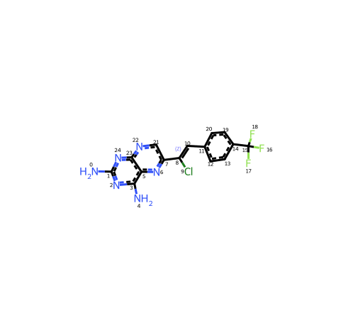 Nc1nc(N)c2nc(/C(Cl)=C/c3ccc(C(F)(F)F)cc3)cnc2n1